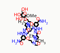 CCn1nc(C)cc1C(=O)/N=c1/[nH]c2cc(C(N)=O)cc(OCCCN3CCOCC3)c2n1C/C=C/Cn1/c(=N/C(=O)c2cc(C)nn2CC)[nH]c2cc(C(N)=O)cc(OCCCO[C@H]3[C@@H](OC)O[C@H](CO)[C@@H](O)[C@@H]3O)c21